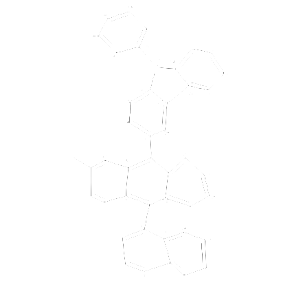 Cc1ccc2c(-c3cccc4ccccc34)c3ccccc3c(-c3ccc4c(c3)c3ccccc3p4-c3ccccc3)c2c1